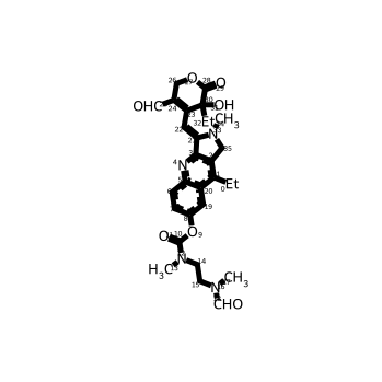 CCc1c2c(nc3ccc(OC(=O)N(C)CCN(C)C=O)cc13)/C(=C/C1=C(C=O)COC(=O)C1(O)CC)N(C)C2